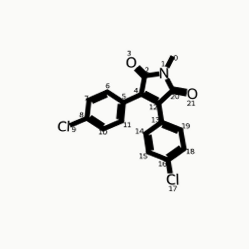 CN1C(=O)C(c2ccc(Cl)cc2)=C(c2ccc(Cl)cc2)C1=O